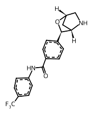 O=C(Nc1ccc(C(F)(F)F)cc1)c1ccc([C@H]2O[C@@H]3CN[C@H]2C3)cc1